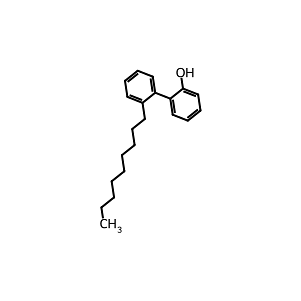 CCCCCCCCCc1ccccc1-c1ccccc1O